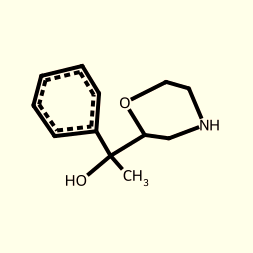 CC(O)(c1ccccc1)C1CNCCO1